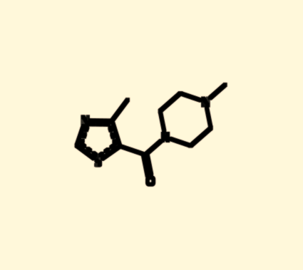 Cc1ncsc1C(=O)N1CCN(C)CC1